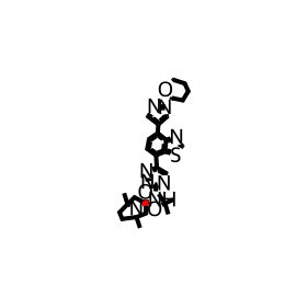 CC(C)(C)OC(=O)N1C2(C)CCC1(C)CC(Nc1ncc(-c3ccc(-c4cnn(C5CCCCO5)c4)c4ncsc34)nn1)C2